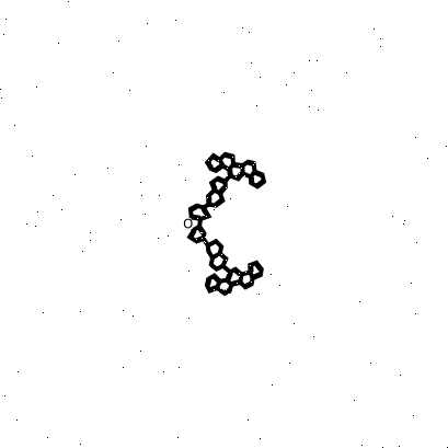 c1ccc2c(c1)ccc1c2cc(-c2ccc3cc(-c4ccc5oc6ccc(C7CCC8CC(c9cc%10c%11ccccc%11ccc%10c%10ccc%11ccccc%11c9%10)CCC8C7)cc6c5c4)ccc3c2)c2c3ccccc3ccc12